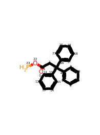 O=C(CC(c1ccccc1)(c1ccccc1)c1ccccc1)OP